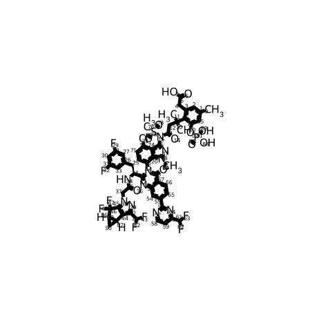 Cc1cc(CC(=O)O)c(C(C)(C)CC(=O)N(c2nn(C)c3c(-n4c([C@H](Cc5cc(F)cc(F)c5)NC(=O)Cn5nc(C(F)F)c6c5C(F)(F)[C@@H]5C[C@H]65)nc5cc(-c6nccc(C(F)F)n6)ccc5c4=O)ccc(Cl)c23)S(C)(=O)=O)c(OP(=O)(O)O)c1